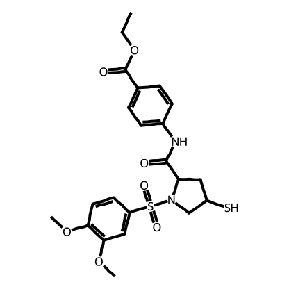 CCOC(=O)c1ccc(NC(=O)C2CC(S)CN2S(=O)(=O)c2ccc(OC)c(OC)c2)cc1